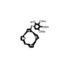 COc1c[c]([Mn][C]2=CC3=CC4=NC(=CC5=NC(=CC6=NC(=CC2=N3)C=C6)C=C5)C=C4)c(OC)c(OC)c1OC